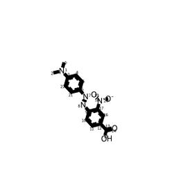 CN(C)c1ccc(/N=N/c2ccc(C(=O)O)cc2[N+](=O)[O-])cc1